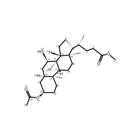 COC(=O)CC[C@@H](C)[C@H]1CC[C@H]2[C@@H]3[C@H](O)C[C@@H]4C[C@H](OC(C)=O)CC[C@]4(C)[C@H]3CC[C@]12C